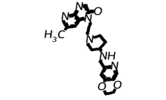 Cc1cnc2ncc(=O)n(CCN3CCC(NCc4cc5c(cn4)OCCO5)CC3)c2c1